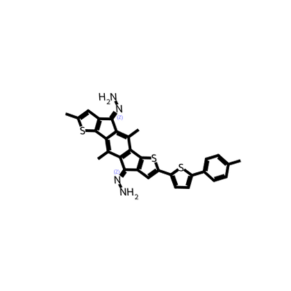 Cc1ccc(-c2ccc(-c3cc4/c(=N\N)c5c(C)c6c(c(C)c5c4s3)/c(=N/N)c3cc(C)sc36)s2)cc1